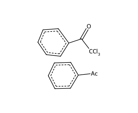 CC(=O)c1ccccc1.O=C(c1ccccc1)C(Cl)(Cl)Cl